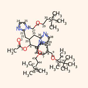 CC(=O)OC(c1ccc(CO[Si](C)(C)C(C)(C)C)cc1)C(Cc1nccn1COCC[Si](C)(C)C)Cc1nccn1COCC[Si](C)(C)C